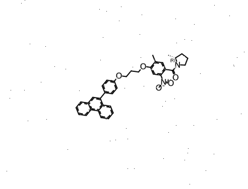 Cc1cc(C(=O)N2CCC[C@H]2C)c([N+](=O)[O-])cc1OCCCOc1ccc(-c2cc3ccccc3c3ccccc23)cc1